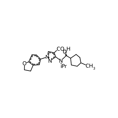 CC1CCC(C(=O)N(c2nn(-c3ccc4c(c3)CCO4)cc2C(=O)O)C(C)C)CC1